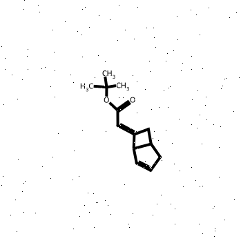 CC(C)(C)OC(=O)C=C1CC2CC=CC12